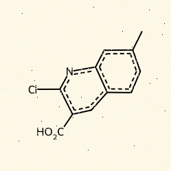 Cc1ccc2cc(C(=O)O)c(Cl)nc2c1